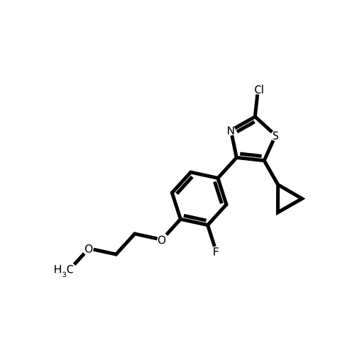 COCCOc1ccc(-c2nc(Cl)sc2C2CC2)cc1F